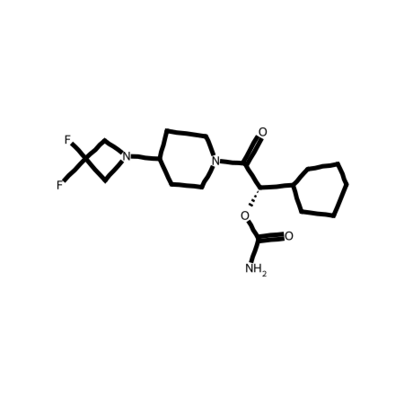 NC(=O)O[C@H](C(=O)N1CCC(N2CC(F)(F)C2)CC1)C1CCCCC1